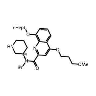 CCCCCCCOc1cccc2c(OCCCOC)cc(C(=O)N(C(C)C)[C@@H]3CCCNC3)nc12